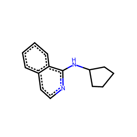 c1ccc2c(NC3CCCC3)nccc2c1